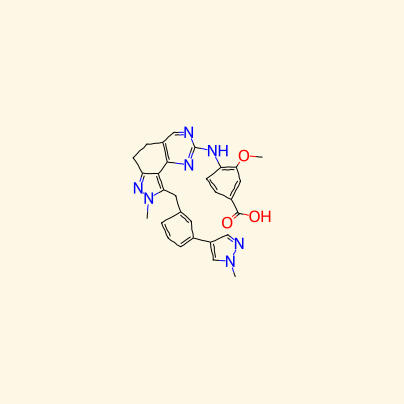 COc1cc(C(=O)O)ccc1Nc1ncc2c(n1)-c1c(nn(C)c1Cc1cccc(-c3cnn(C)c3)c1)CC2